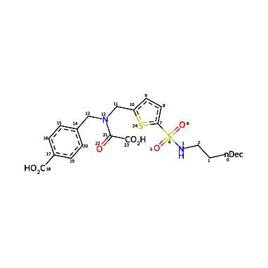 CCCCCCCCCCCCNS(=O)(=O)c1ccc(CN(Cc2ccc(C(=O)O)cc2)C(=O)C(=O)O)s1